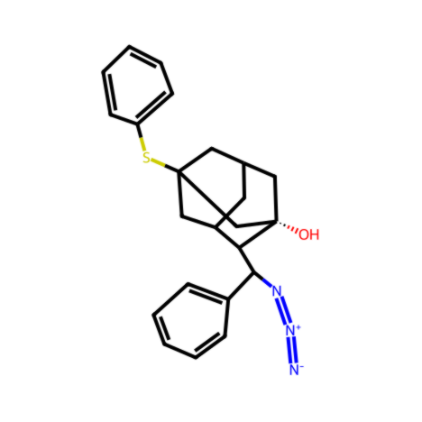 [N-]=[N+]=NC(c1ccccc1)C1C2CC3CC(Sc4ccccc4)(C2)C[C@@]1(O)C3